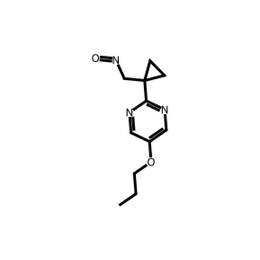 CCCOc1cnc(C2(CN=O)CC2)nc1